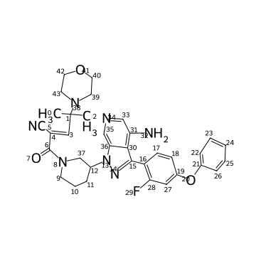 CC(C)(C=C(C#N)C(=O)N1CCCC(n2nc(-c3ccc(Oc4ccccc4)cc3F)c3c(N)cncc32)C1)N1CCOCC1